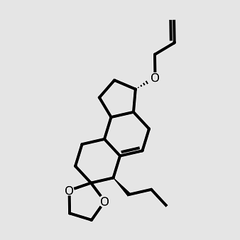 C=CCO[C@H]1CCC2C3CCC4(OCCO4)[C@H](CCC)C3=CCC21